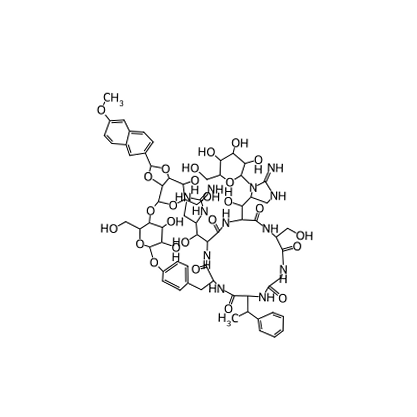 COc1ccc2cc(C3OC4C(OC5C(CO)OC(Oc6ccc(CC7NC(=O)C(C(C)c8ccccc8)NC(=O)CNC(=O)C(CO)NC(=O)C(C(O)C8CNC(=N)N8C8OC(CO)C(O)C(O)C8O)NC(=O)C(C(O)C8CNC(=N)N8)NC7=O)cc6)C(O)C5O)OC(CO)C(O)C4O3)ccc2c1